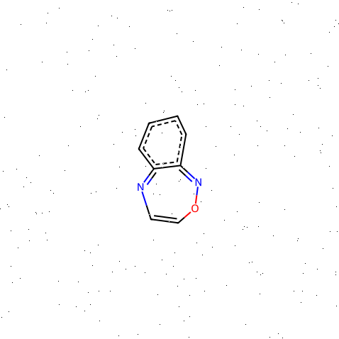 C1=CON=c2ccccc2=N1